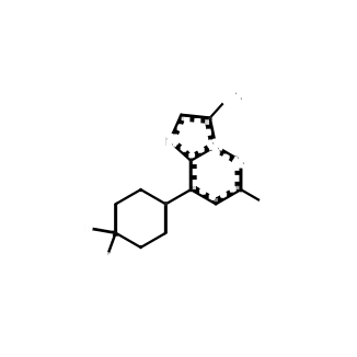 N#Cc1cnc2c(C3CCC(F)(F)CC3)cc(Cl)nn12